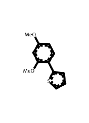 COc1ccc(-c2cc[c]s2)c(OC)c1